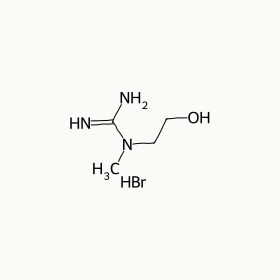 Br.CN(CCO)C(=N)N